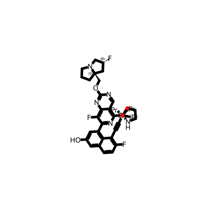 CC(C)[Si](C#Cc1c(F)ccc2cc(O)cc(-c3nc(N4CCCN4)c4cnc(OC[C@@]56CCCN5C[C@H](F)C6)nc4c3F)c12)(C(C)C)C(C)C